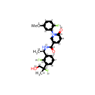 COc1ccc(F)c(-n2cc(C(=O)N[C@H](C)c3cccc(C(C)(F)CO)c3F)ccc2=O)c1